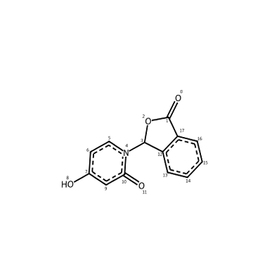 O=C1OC(n2ccc(O)cc2=O)c2ccccc21